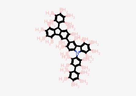 Bc1c(B)c(B)c(-c2c(B)c(B)c(-n3c4c(B)c(B)c(B)c(B)c4c4c(B)c(-c5c(B)c(B)c6c(c5B)-c5c(B)c(B)c(B)c(B)c5C6c5c(B)c(B)c(B)c(B)c5B)c(B)c(B)c43)c(B)c2B)c(B)c1B